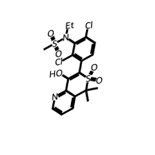 CCN(c1c(Cl)ccc(C2=C(O)c3ncccc3C(C)(C)S2(=O)=O)c1Cl)S(C)(=O)=O